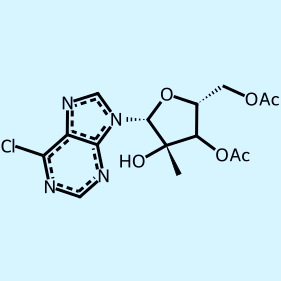 CC(=O)OC[C@H]1O[C@@H](n2cnc3c(Cl)ncnc32)[C@@](C)(O)C1OC(C)=O